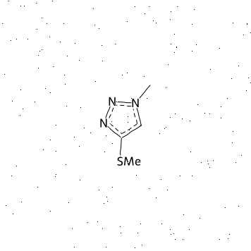 [CH2]Sc1cn(C)nn1